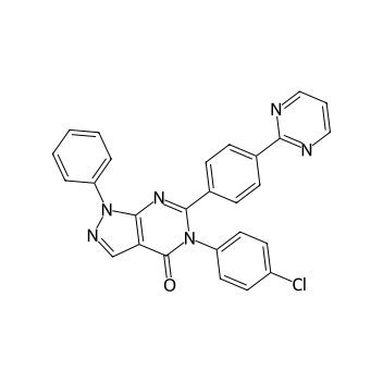 O=c1c2cnn(-c3ccccc3)c2nc(-c2ccc(-c3ncccn3)cc2)n1-c1ccc(Cl)cc1